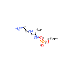 CCCCCO[PH](=O)ONCCNCCN.[La]